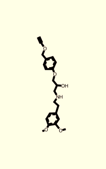 C#COCc1ccc(OCC(O)CNCCc2ccc(OC)c(OC)c2)cc1